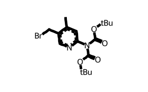 Cc1cc(N(C(=O)OC(C)(C)C)C(=O)OC(C)(C)C)ncc1CBr